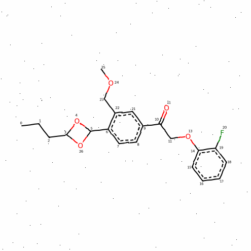 CCCC1OC(c2ccc(C(=O)COc3ccccc3F)cc2COC)O1